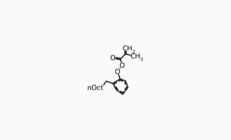 C=C(C)C(=O)OOc1ccccc1CCCCCCCCC